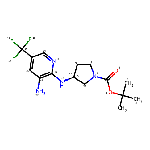 CC(C)(C)OC(=O)N1CC[C@H](Nc2ncc(C(F)(F)F)cc2N)C1